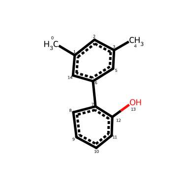 Cc1cc(C)cc(-c2ccccc2O)c1